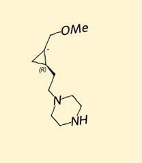 COC[C]1C[C@@H]1CCN1CCNCC1